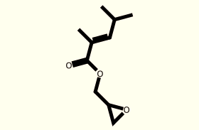 CC(=CC(C)C)C(=O)OCC1CO1